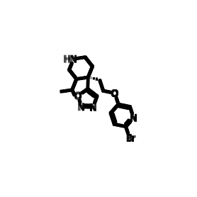 CC(C)C1CNCC[C@@]1(CCOc1ccc(Br)nc1)c1cnno1